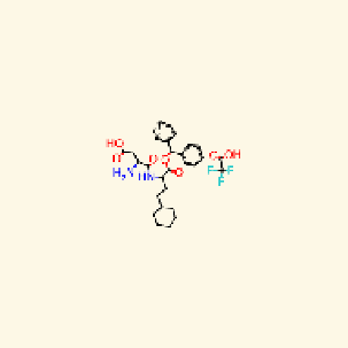 N[C@@H](CC(=O)O)C(=O)NC(CCC1CCCCC1)C(=O)OC(c1ccccc1)c1ccccc1.O=C(O)C(F)(F)F